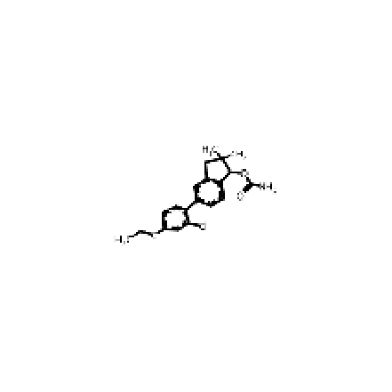 CCOc1ccc(-c2ccc3c(c2)CC(C)(C)[C@H]3OC(N)=O)c(Cl)c1